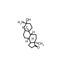 C[C@]12CCC(N)(O)CC1CC[C@@H]1[C@H]2CC[C@]2(C)C(=O)CC[C@@H]12